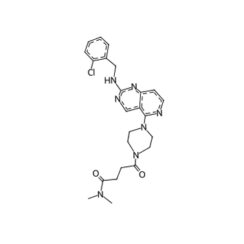 CN(C)C(=O)CCC(=O)N1CCN(c2nccc3nc(NCc4ccccc4Cl)ncc23)CC1